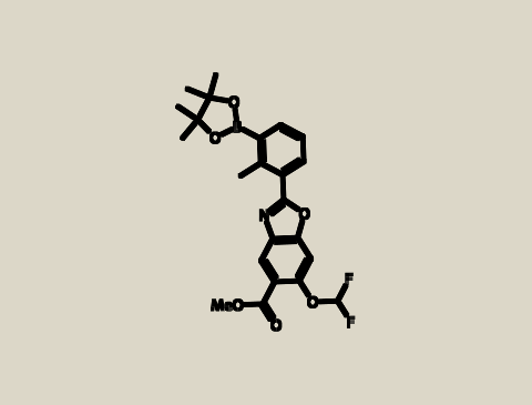 COC(=O)c1cc2nc(-c3cccc(B4OC(C)(C)C(C)(C)O4)c3C)oc2cc1OC(F)F